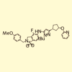 COc1ccc(CN2Cc3c(ccc(Nc4cc([C@H]5CC[C@@H](Oc6ccccn6)C5)nn4C(C)(C)C)c3F)S2(=O)=O)cc1